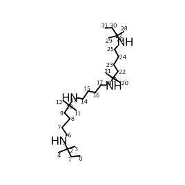 CCC(C)(C)NCCCCC(C)(C)NCCCCNC(C)(C)CCCCNC(C)(C)CC